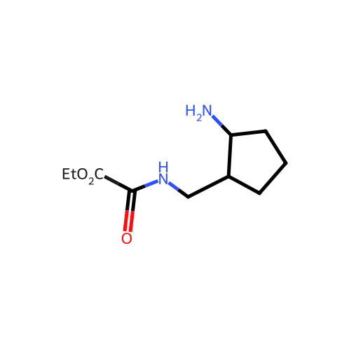 CCOC(=O)C(=O)NCC1CCCC1N